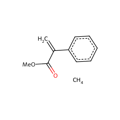 C.C=C(C(=O)OC)c1ccccc1